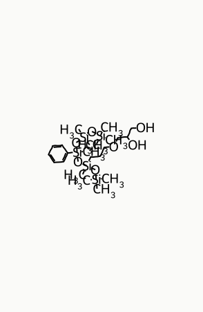 C[Si](C)(C)O[Si](C)(C)O[Si](C)(O[Si](C)(CCCOCC(O)CO)O[Si](C)(C)C)c1ccccc1